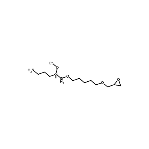 CCO[SiH](CCCN)[SiH2]OCCCCCOCC1CO1